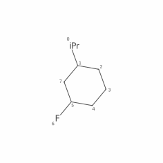 CC(C)C1CCCC(F)C1